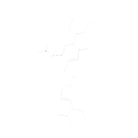 COc1cc(N=Nc2sc(N(C(C)C)C(C)C)n[n+]2C)c(NC(C)=O)cc1N(CCO)CCO